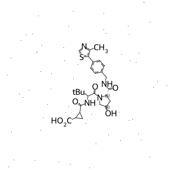 Cc1ncsc1-c1ccc(CNC(=O)[C@@H]2C[C@@H](O)CN2C(=O)C(NC(=O)C2CC2C(=O)O)C(C)(C)C)cc1